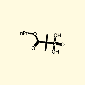 CCCOC(=O)C(C)(C)P(=O)(O)O